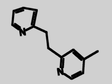 Cc1ccnc(CCc2ccccn2)c1